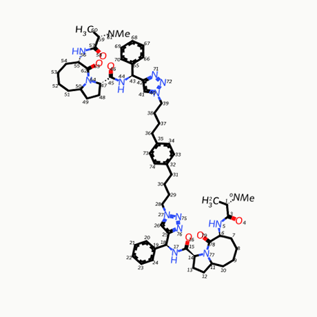 CN[C@@H](C)C(=O)N[C@H]1CCCCC2CC[C@@H](C(=O)N[C@@H](c3ccccc3)c3cn(CCCCc4ccc(CCCCn5cc([C@@H](NC(=O)[C@@H]6CCC7CCCC[C@H](NC(=O)[C@H](C)NC)C(=O)N76)c6ccccc6)nn5)cc4)nn3)N2C1=O